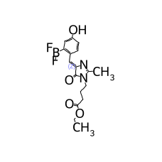 CCOC(=O)CCCN1C(=O)/C(=C/c2ccc(O)cc2B(F)F)N=C1C